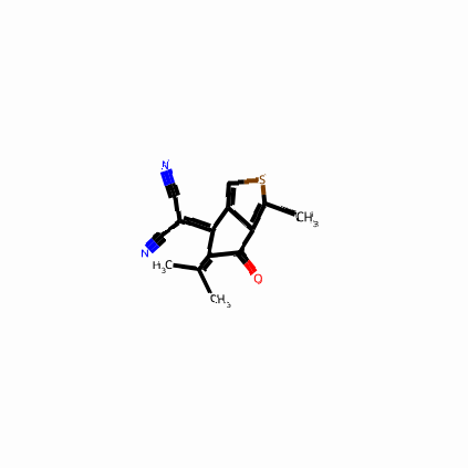 CC(C)=C1C(=O)c2c(csc2C)C1=C(C#N)C#N